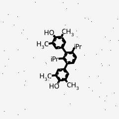 Cc1cc(-c2ccc(C(C)C)c(-c3cc(C)c(O)c(C)c3)c2C(C)C)cc(C)c1O